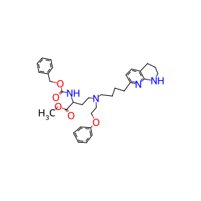 COC(=O)C(CCN(CCCCc1ccc2c(n1)NCCC2)CCOc1ccccc1)NC(=O)OCc1ccccc1